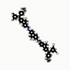 Cc1cc(C)cc(N(c2ccc([Si](C)(C)C)cc2)c2ccc3c(c2)C(C)(C)c2cc(/C=C/c4ccc5c(c4)C(C)(C)c4cc(/C=C/c6ccc7c(c6)C(C)(C)c6cc(N(c8ccc([Si](C)(C)C)cc8)c8cc(C)cc(C)c8)ccc6-7)ccc4-5)ccc2-3)c1